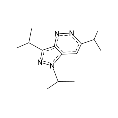 CC(C)c1cc2c(nn1)c(C(C)C)nn2C(C)C